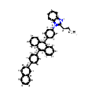 CCCc1nc2ccccc2n1-c1ccc(-c2c3ccccc3c(-c3ccc(-c4ccc5ccccc5c4)cc3)c3ccccc23)cc1